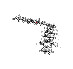 CSCC[C@H](N)C(=O)O.CSCC[C@H](N)C(=O)OC[C@H](N)C(=O)O.CSCC[C@H](N)C(=O)OC[C@H](N)C(=O)O.CSCC[C@H](N)C(=O)OC[C@H](N)C(=O)O.CSCC[C@H](N)C(=O)OC[C@H](N)C(=O)O[C@H](C)[C@H](N)C(=O)OC[C@H](N)C(=O)O.N[C@@H](CC(=O)O)C(=O)O.N[C@@H](CO)C(=O)O.N[C@@H](CO)C(=O)O.N[C@@H](COC(=O)[C@@H](N)CC(=O)O)C(=O)O.N[C@@H](COC(=O)[C@@H](N)CC(=O)O)C(=O)O.N[C@@H](Cc1ccccc1)C(=O)O